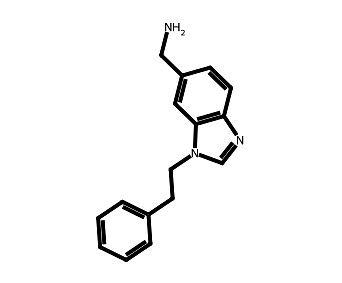 NCc1ccc2ncn(CCc3ccccc3)c2c1